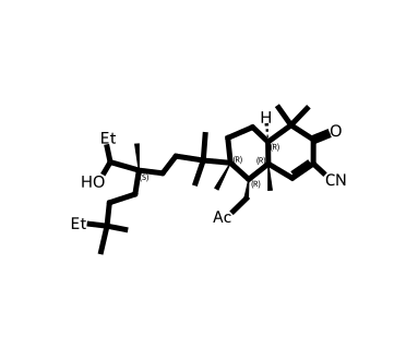 CCC(O)[C@@](C)(CCC(C)(C)CC)CCC(C)(C)[C@]1(C)CC[C@H]2C(C)(C)C(=O)C(C#N)=C[C@]2(C)[C@H]1CC(C)=O